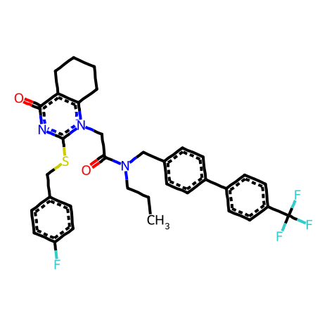 CCCN(Cc1ccc(-c2ccc(C(F)(F)F)cc2)cc1)C(=O)Cn1c(SCc2ccc(F)cc2)nc(=O)c2c1CCCC2